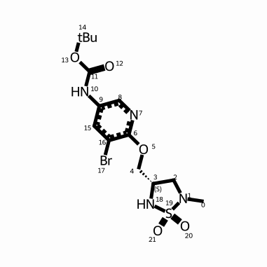 CN1C[C@@H](COc2ncc(NC(=O)OC(C)(C)C)cc2Br)NS1(=O)=O